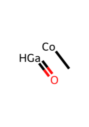 [CH3][Co].[O]=[GaH]